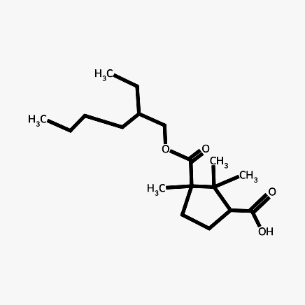 CCCCC(CC)COC(=O)C1(C)CCC(C(=O)O)C1(C)C